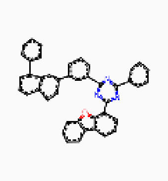 c1ccc(-c2nc(-c3cccc(-c4ccc5cccc(-c6ccccc6)c5c4)c3)nc(-c3cccc4c3oc3ccccc34)n2)cc1